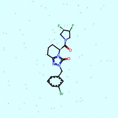 O=C([C@@H]1CCCc2nn(Cc3cccc(Br)c3)c(=O)n21)N1C[C@@H](F)[C@@H](F)C1